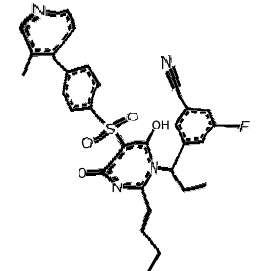 CCCCc1nc(=O)c(S(=O)(=O)c2ccc(-c3ccncc3C)cc2)c(O)n1C(CC)c1cc(F)cc(C#N)c1